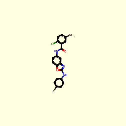 CCc1ccc(Nc2nc3cc(NC(=O)c4cc([N+](=O)[O-])ccc4Cl)ccc3o2)cc1